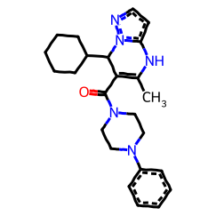 CC1=C(C(=O)N2CCN(c3ccccc3)CC2)C(C2CCCCC2)n2nccc2N1